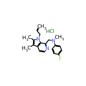 C=CCn1c(C)c(C)c2ccnc(CN(C)c3ccc(F)cc3)c21.Cl